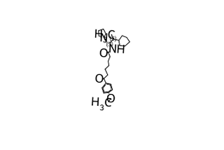 COc1ccc(C(=O)CCCCCC(=O)N[C@H](CN2CCCC2)[C@@H](C)C2CCCCC2)cc1